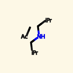 CC(C)=O.CC(C)CNCC(C)C